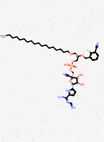 CCCCCCCCCCCCCCCCCCOC[C@H](COP(=O)(O)OC[C@@]1(C#N)O[C@@H](c2ccc(/C(N)=N\C=N)[nH]2)[C@H](O)[C@@H]1O)OCc1cccc(C#N)c1F